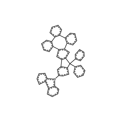 c1ccc(C2(c3ccccc3)c3ccc(-n4c5ccccc5c5ccccc54)cc3-c3cc4c(cc32)-c2ccccc2-c2ccccc2-c2ccccc2-4)cc1